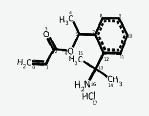 C=CC(=O)OC(C)c1ccccc1C(C)(C)N.Cl